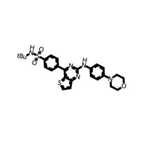 CC(C)(C)NS(=O)(=O)c1ccc(-c2nc(Nc3ccc(N4CCOCC4)cc3)nc3ccsc23)cc1